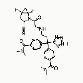 CN(C)C(=O)c1ccc(C(CCNCC(=O)N2[C@H](C#N)C[C@@H]3C[C@@H]32)(c2ccc(C(=O)N(C)C)cc2)c2nn[nH]n2)cc1